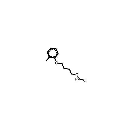 Cc1ccccc1OCCCCOPCl